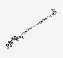 N/C(=C\N(N)CCOCCOCCOCCOCCOCCOCCOCCOCCOCCOCCOCCOCCC(=O)ON1C(=O)CCC1=O)c1cccc(NC(=O)N2CCC3(CC2)NC(=O)N(c2cccc(Cl)c2)C3=O)c1